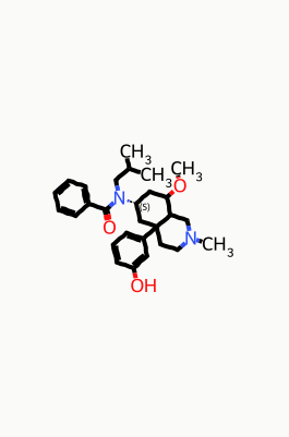 COC1C[C@@H](N(CC(C)C)C(=O)c2ccccc2)CC2(c3cccc(O)c3)CCN(C)CC12